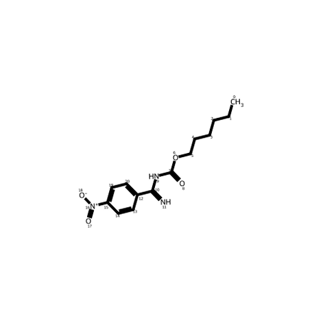 CCCCCCOC(=O)NC(=N)c1ccc([N+](=O)[O-])cc1